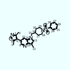 Cc1noc(C)c1-c1cnc2c(C)cn(CC3CCN(S(=O)(=O)c4ccccc4)CC3)c2c1